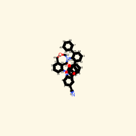 N#Cc1ccc2c(c1)c1ccccc1n2-c1cccc2c1C(=O)N(c1c(-c3ccccc3)cccc1-c1ccccc1)COC2